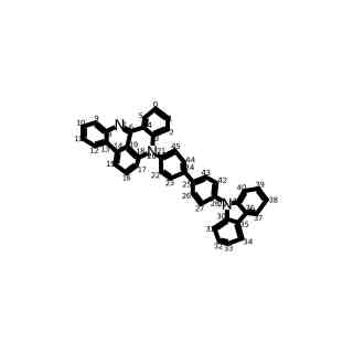 c1ccc2c(c1)-c1nc3ccccc3c3cccc(c13)N2c1ccc(-c2ccc(-n3c4ccccc4c4ccccc43)cc2)cc1